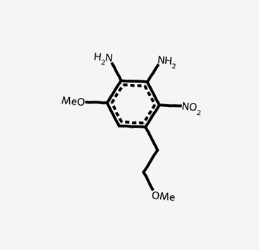 COCCc1cc(OC)c(N)c(N)c1[N+](=O)[O-]